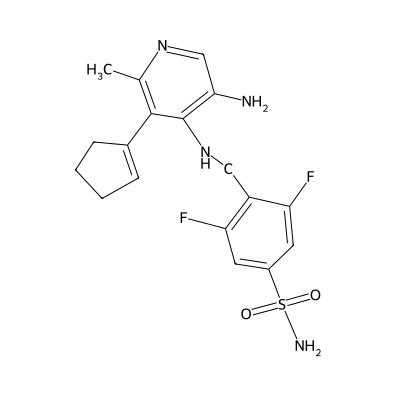 Cc1ncc(N)c(NCc2c(F)cc(S(N)(=O)=O)cc2F)c1C1=CCCC1